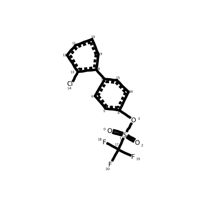 O=S(=O)(Oc1ccc(-c2ccccc2Cl)cc1)C(F)(F)F